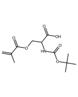 C=C(C)C(=O)OCC(NC(=O)OC(C)(C)C)C(=O)O